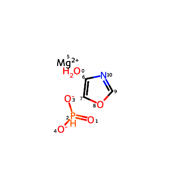 O.O=[PH]([O-])[O-].[Mg+2].c1cocn1